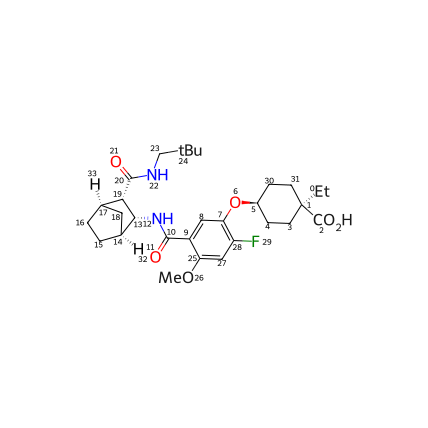 CC[C@]1(C(=O)O)CC[C@@H](Oc2cc(C(=O)N[C@@H]3[C@H]4CC[C@H](C4)[C@@H]3C(=O)NCC(C)(C)C)c(OC)cc2F)CC1